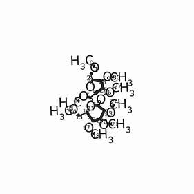 COC[C@H]1O[C@@](COC)(O[C@H]2O[C@H](COC)[C@@H](OC)[C@H](OC)[C@H]2OC)[C@@H](OC)[C@@H]1OC